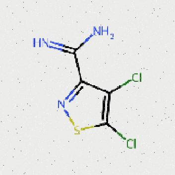 N=C(N)c1nsc(Cl)c1Cl